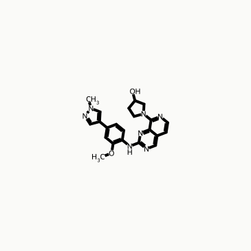 COc1cc(-c2cnn(C)c2)ccc1Nc1ncc2ccnc(N3CCC(O)C3)c2n1